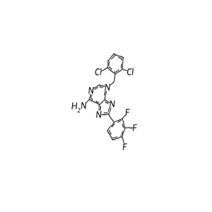 Nc1ncn(Cc2c(Cl)cccc2Cl)c2nc(-c3ccc(F)c(F)c3F)nc1-2